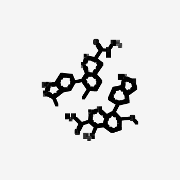 COc1ccc2c(N)c(C(N)=O)nnc2c1-c1ccc2[nH]ncc2c1.Cc1ccc2cc(C(=O)NN)nnc2c1-c1ccc2[nH]nc(C)c2c1